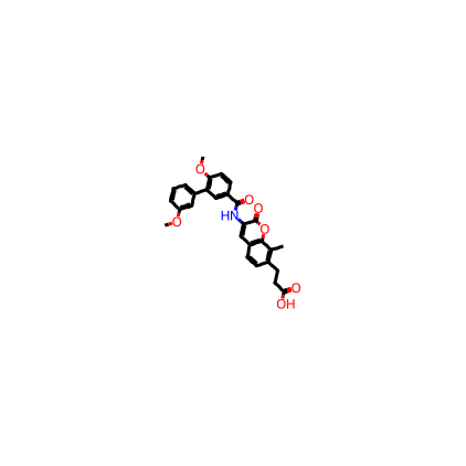 COc1cccc(-c2cc(C(=O)Nc3cc4ccc(CCC(=O)O)c(C)c4oc3=O)ccc2OC)c1